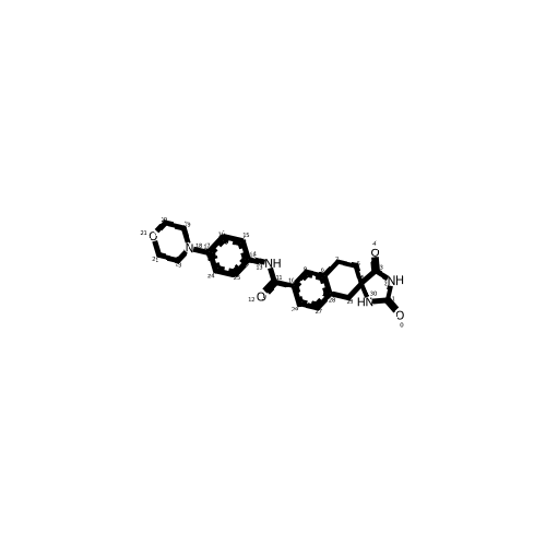 O=C1NC(=O)C2(CCc3cc(C(=O)Nc4ccc(N5CCOCC5)cc4)ccc3C2)N1